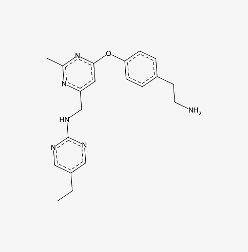 CCc1cnc(NCc2cc(Oc3ccc(CCN)cc3)nc(C)n2)nc1